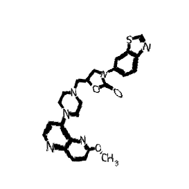 COc1ccc2nccc(N3CCN(CC4CN(c5ccc6ncsc6c5)C(=O)O4)CC3)c2n1